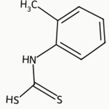 Cc1ccccc1NC(=S)S